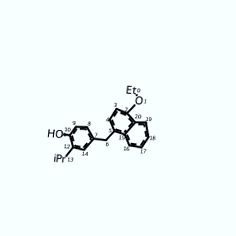 CCOc1ccc(Cc2ccc(O)c(C(C)C)c2)c2ccccc12